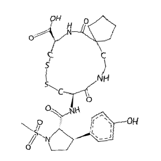 CS(=O)(=O)N1CC[C@H](c2ccc(O)cc2)[C@H]1C(=O)N[C@H]1CSSC[C@@H](C(=O)O)NC(=O)C2(CCCC2)CCNC1=O